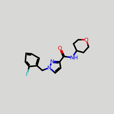 O=C(NC1CCOCC1)c1ccn(Cc2ccccc2F)n1